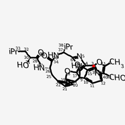 Cc1oc(-c2nc3oc2C24c5ccccc5NC2Oc2ccc(cc24)C[C@H](NC(=O)[C@@H](O)CC(C)C)C(=O)N[C@H]3C(C)C)nc1C=O